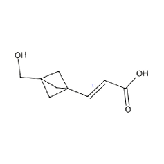 O=C(O)/C=C/C12CC(CO)(C1)C2